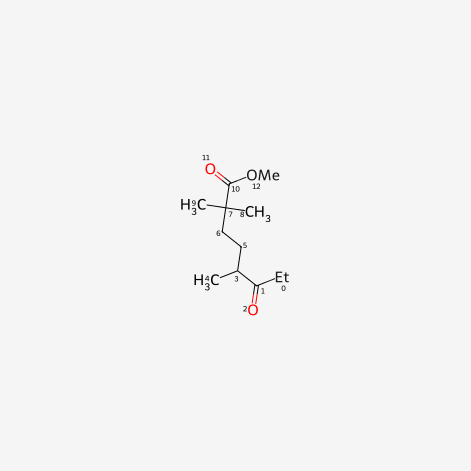 CCC(=O)C(C)CCC(C)(C)C(=O)OC